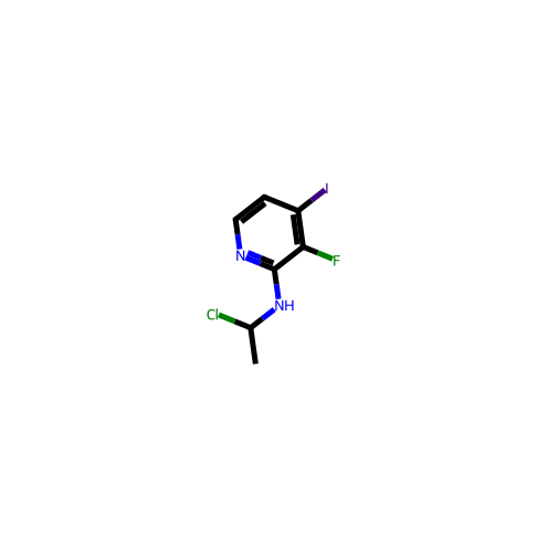 CC(Cl)Nc1nccc(I)c1F